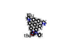 Cc1cc(-c2ccccn2)ccc1-c1cc2c(cc1-c1cc(-c3ccccc3-c3ccc(-c4cc(C(C)(C)C)ccn4)cc3)cc(-c3ccccc3-c3ccc(-c4cc(C(C)(C)C)ccn4)cc3)c1)c1ccccc1n2-c1ccccc1